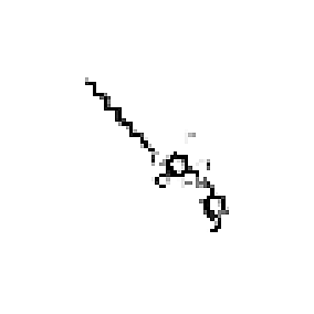 CCCCCCCCCCCCOc1ccc(C(=O)NCc2cc[n+](CC)cc2)cc1OC.[I-]